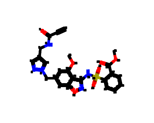 C#CC(=O)NCc1cnn(Cc2cc(OC)c3c(NS(=O)(=O)c4ccccc4C(=O)OC)noc3c2)c1